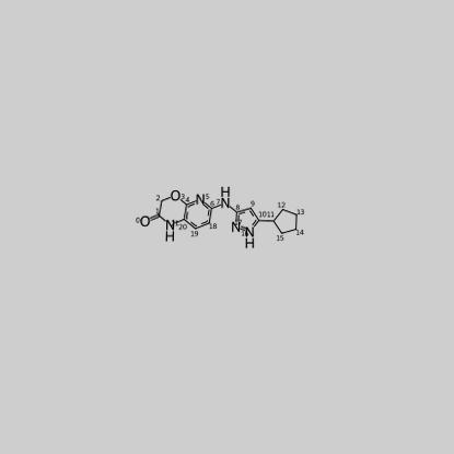 O=C1COc2nc(Nc3cc(C4CCCC4)[nH]n3)ccc2N1